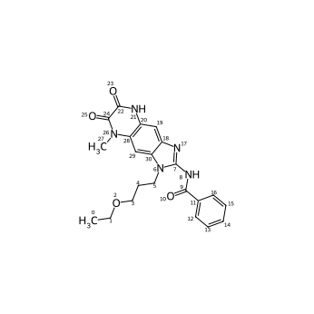 CCOCCCn1c(NC(=O)c2ccccc2)nc2cc3[nH]c(=O)c(=O)n(C)c3cc21